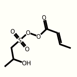 CC=CC(=O)OOS(=O)(=O)CC(C)O